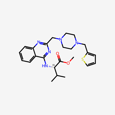 COC(=O)[C@@H](Nc1nc(CN2CCN(Cc3cccs3)CC2)nc2ccccc12)C(C)C